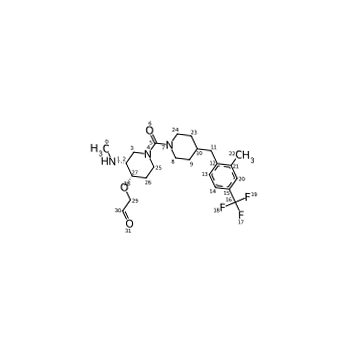 CN[C@@H]1CN(C(=O)N2CCC(Cc3ccc(C(F)(F)F)cc3C)CC2)CC[C@@H]1OCC=O